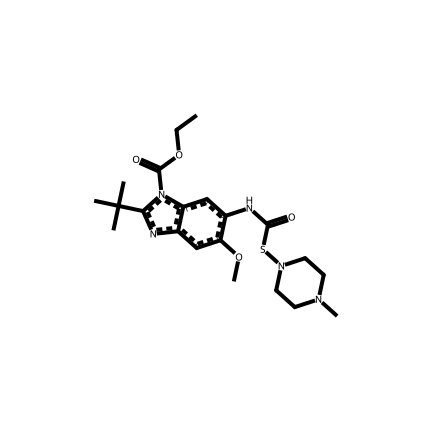 CCOC(=O)n1c(C(C)(C)C)nc2cc(OC)c(NC(=O)SN3CCN(C)CC3)cc21